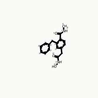 CNC(=O)c1ccc(CC(=O)NO)cc1Cc1ccccc1